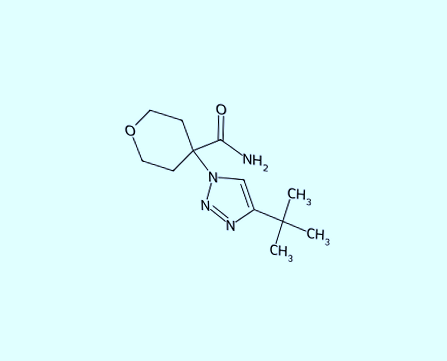 CC(C)(C)c1cn(C2(C(N)=O)CCOCC2)nn1